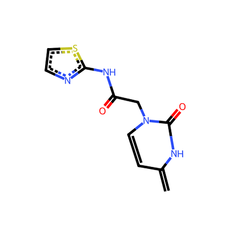 C=C1C=CN(CC(=O)Nc2nccs2)C(=O)N1